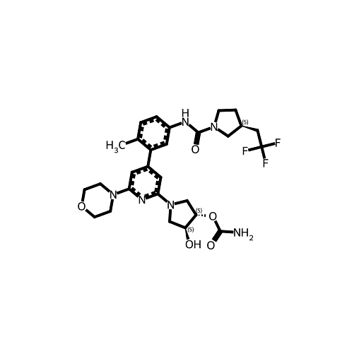 Cc1ccc(NC(=O)N2CC[C@@H](CC(F)(F)F)C2)cc1-c1cc(N2CCOCC2)nc(N2C[C@H](OC(N)=O)[C@@H](O)C2)c1